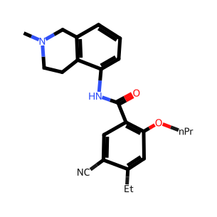 CCCOc1cc(CC)c(C#N)cc1C(=O)Nc1cccc2c1CCN(C)C2